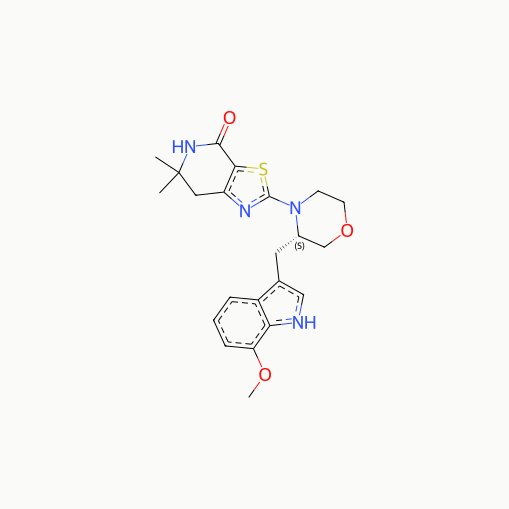 COc1cccc2c(C[C@H]3COCCN3c3nc4c(s3)C(=O)NC(C)(C)C4)c[nH]c12